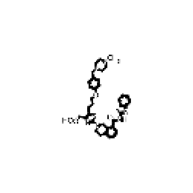 CN1CCN(Cc2ccc(OCCCc3sc(N4CCc5cccc(C(=O)Nc6nc7ccccc7s6)c5C4)nc3COO)cc2)CC1